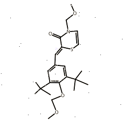 COCOc1c(C(C)(C)C)cc(/C=C2\SC=CN(COC)C2=O)cc1C(C)(C)C